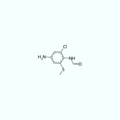 CSc1cc(N)cc(Cl)c1NC=O